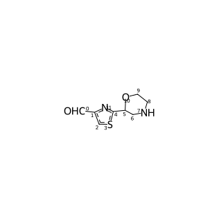 O=Cc1csc(C2CNCCO2)n1